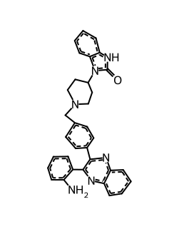 Nc1ccccc1-c1nc2ccccc2nc1-c1ccc(CN2CCC(n3c(=O)[nH]c4ccccc43)CC2)cc1